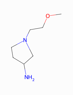 COCCN1CCC(N)C1